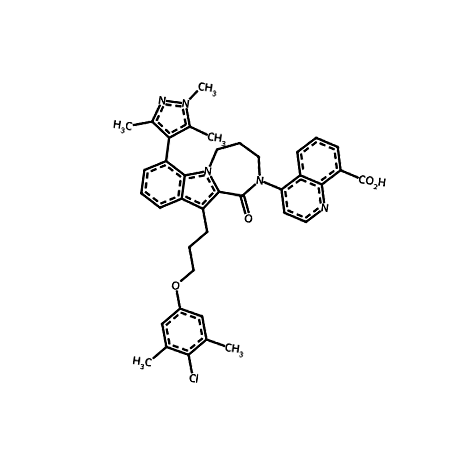 Cc1cc(OCCCc2c3n(c4c(-c5c(C)nn(C)c5C)cccc24)CCCN(c2ccnc4c(C(=O)O)cccc24)C3=O)cc(C)c1Cl